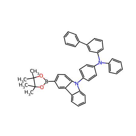 CC1(C)OB(c2ccc3c(c2)c2ccccc2n3-c2ccc(N(c3ccccc3)c3cccc(-c4ccccc4)c3)cc2)OC1(C)C